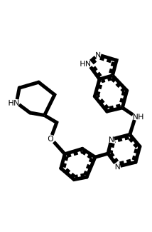 c1cc(OCC2CCCNC2)cc(-c2nccc(Nc3ccc4[nH]ncc4c3)n2)c1